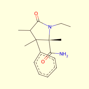 CCN1C(=O)C(C)C(C)(c2ccccc2)[C@@]1(C)C(N)=O